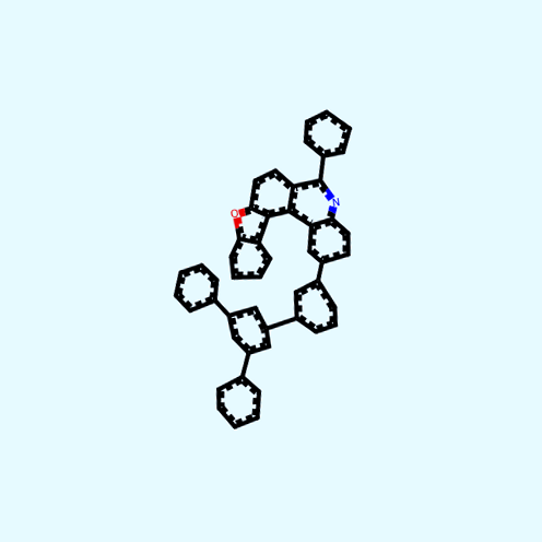 c1ccc(-c2cc(-c3ccccc3)cc(-c3cccc(-c4ccc5nc(-c6ccccc6)c6ccc7oc8ccccc8c7c6c5c4)c3)c2)cc1